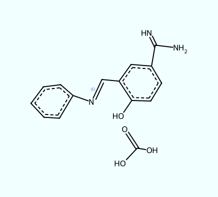 N=C(N)c1ccc(O)c(/C=N/c2ccccc2)c1.O=C(O)O